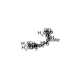 CC[C@@H]1C(=O)N(C)c2cnc(Nc3ccc(C(=O)NCCOC4CCN(c5ncc(C(=O)NC6C(C)(C)CC6(C)C)cn5)CC4)cc3OC)nc2N1C1CCCC1